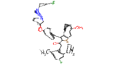 Cc1cc(F)cc(C)c1C(=O)c1sc2cc(O)ccc2c1-c1ccc(O[C@H]2CCN(C3CC3F)C2)cc1